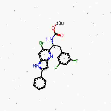 CC(C)(C)OC(=O)N[C@@H](Cc1cc(F)cc(F)c1)c1nc2cc(-c3ccccc3)[nH]c2cc1Br